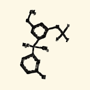 COc1cc(OC(F)(F)F)cc(C(C)(C)c2cccc(Cl)n2)c1